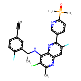 C#Cc1ccc(F)c([C@@H](C)Nc2c(Cl)c(C)nc3cc(F)c(-c4ccc(P(C)(C)=O)nc4)nc23)c1